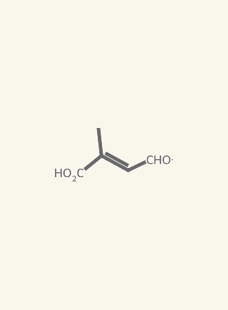 CC(=C[C]=O)C(=O)O